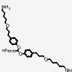 CCCCCC(Oc1ccc(CCCOCCCCCN)cc1)Oc1ccc(CCCOCCCCCN)cc1